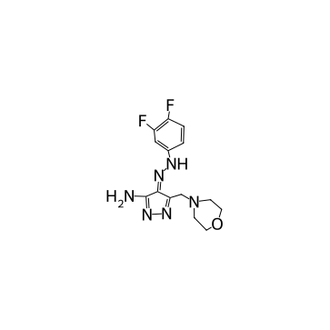 NC1=NN=C(CN2CCOCC2)/C1=N\Nc1ccc(F)c(F)c1